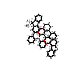 CC1(C)c2ccccc2-c2ccc(-c3ccccc3N(c3cccc(-c4cccc5oc6ccccc6c45)c3)c3ccccc3-c3cccc4cccc(C5CCCCC5)c34)cc21